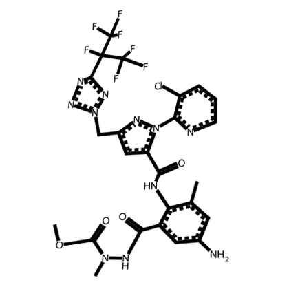 COC(=O)N(C)NC(=O)c1cc(N)cc(C)c1NC(=O)c1cc(Cn2nnc(C(F)(C(F)(F)F)C(F)(F)F)n2)nn1-c1ncccc1Cl